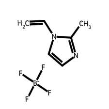 C=Cn1ccnc1C.F[B-](F)(F)F